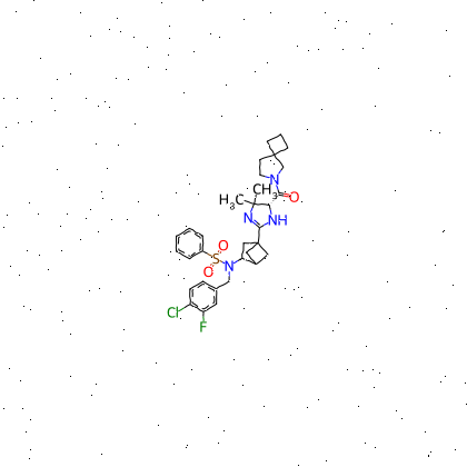 CC1(C)N=C(C23CC(C2)C(N(Cc2ccc(Cl)c(F)c2)S(=O)(=O)c2ccccc2)C3)N[C@H]1C(=O)N1CCC2(CCC2)C1